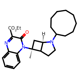 CCOC(=O)c1nc2ccccc2n([C@@]2(C)C[C@@H]3C2CCN3C2CCCCCCCC2)c1=O